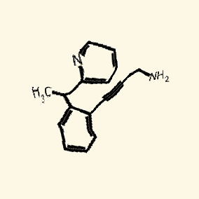 CC(c1ccccn1)c1ccccc1C#CCN